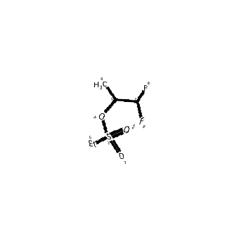 CCS(=O)(=O)OC(C)C(F)F